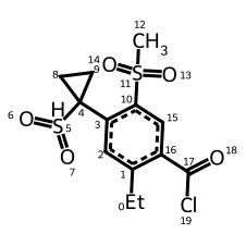 CCc1cc(C2([SH](=O)=O)CC2)c(S(C)(=O)=O)cc1C(=O)Cl